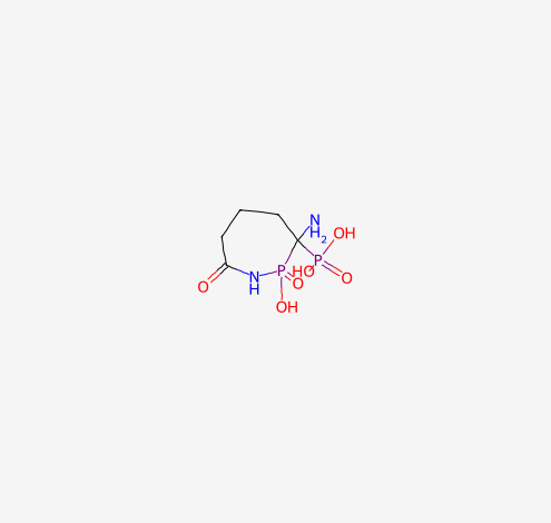 NC1(P(=O)(O)O)CCCC(=O)NP1(=O)O